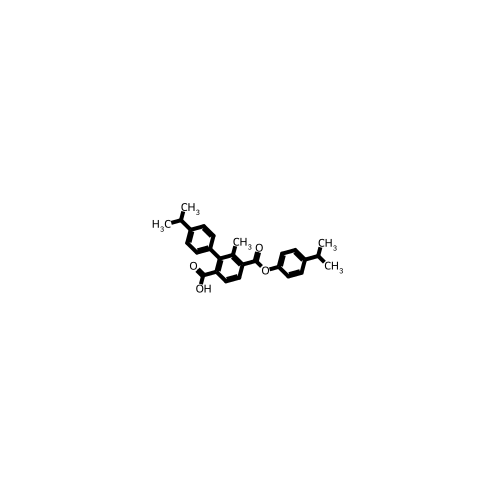 Cc1c(C(=O)Oc2ccc(C(C)C)cc2)ccc(C(=O)O)c1-c1ccc(C(C)C)cc1